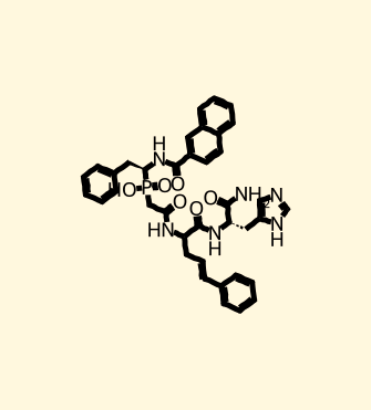 NC(=O)[C@H](Cc1cnc[nH]1)NC(=O)C(CC=Cc1ccccc1)NC(=O)CP(=O)(O)[C@@H](Cc1ccccc1)NC(=O)c1ccc2ccccc2c1